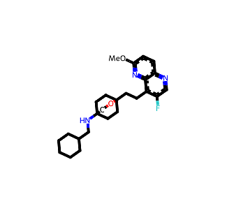 COc1ccc2ncc(F)c(CCC34CCC(NCC5CCCCC5)(CC3)CO4)c2n1